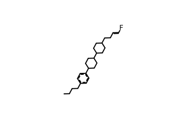 CCCCc1ccc(C2CCC(C3CCC(CCC=CF)CC3)CC2)cc1